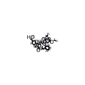 CCOC(=O)/C=C(/ON=CC(N)(C1CCC(CO)C1)N(C)C(=O)OCc1ccccc1)C(=O)OCC